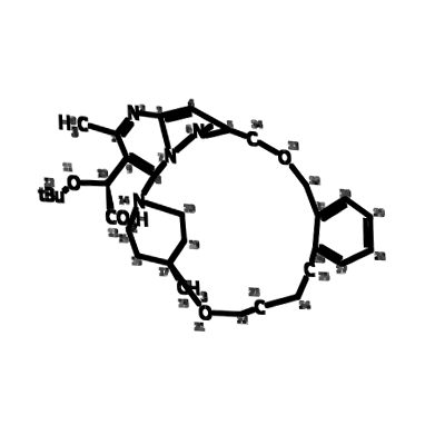 Cc1nc2cc3nn2c(c1[C@H](OC(C)(C)C)C(=O)O)N1CCC(C)(CC1)OCCCCc1ccccc1COC3